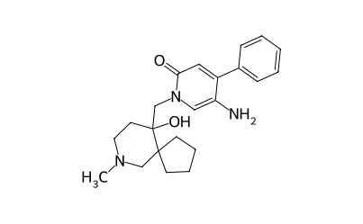 CN1CCC(O)(Cn2cc(N)c(-c3ccccc3)cc2=O)C2(CCCC2)C1